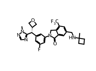 Cn1ncnc1[C@@H](c1cc(F)cc(N2Cc3c(cc(CNC4(C)CCC4)cc3C(F)(F)F)C2=O)c1)C1COC1